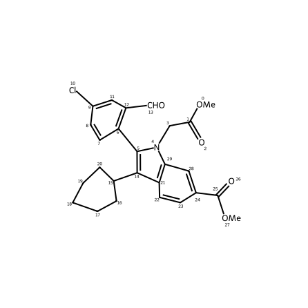 COC(=O)Cn1c(-c2ccc(Cl)cc2C=O)c(C2CCCCC2)c2ccc(C(=O)OC)cc21